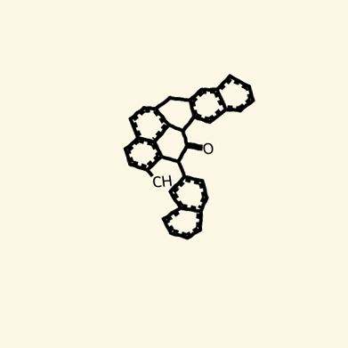 Cc1ccc2ccc3c4c2c1C(c1ccc2ccccc2c1)C(=O)C4c1cc2ccccc2cc1C3